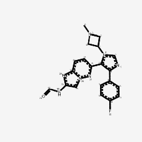 CN1CC(n2cnc(-c3ccc(F)cc3)c2-c2ccc3nc(NC=O)cn3n2)C1